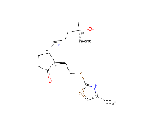 CCCCC[C@](C)(O)C/C=C/[C@H]1CCC(=O)[C@@H]1CCSc1nc(C(=O)O)cs1